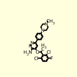 CC(Oc1cc(-c2ccc(N3CCN(C)CC3)cc2)nnc1N)c1c(Cl)ccc(F)c1Cl